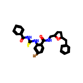 O=C(NC(=S)Nc1cc(Br)ccc1C(=O)NCC1CCC(Cc2ccccc2)O1)c1ccccc1